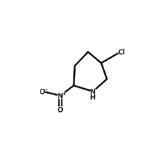 O=[N+]([O-])C1CCC(Cl)CN1